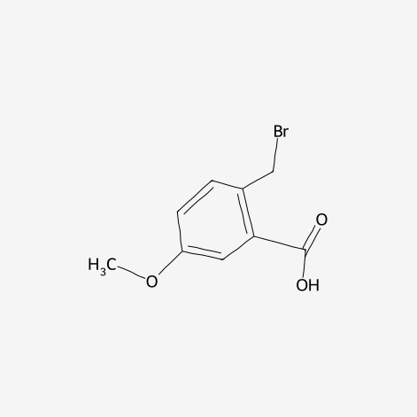 COc1ccc(CBr)c(C(=O)O)c1